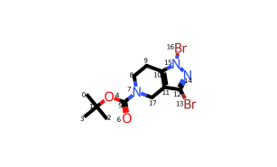 CC(C)(C)OC(=O)N1CCc2c(c(Br)nn2Br)C1